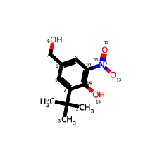 CC(C)(C)c1cc(CO)cc([N+](=O)[O-])c1O